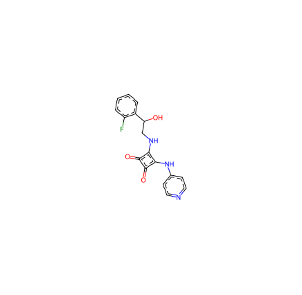 O=c1c(NCC(O)c2ccccc2F)c(Nc2ccncc2)c1=O